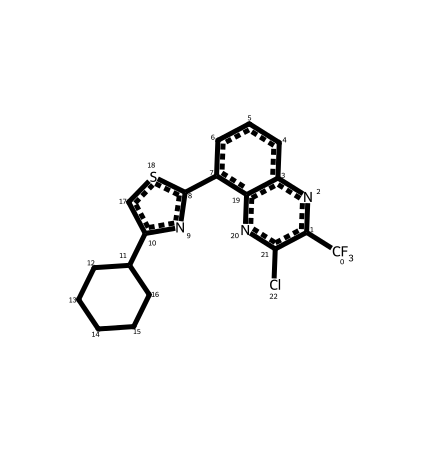 FC(F)(F)c1nc2cccc(-c3nc(C4CCCCC4)cs3)c2nc1Cl